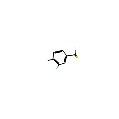 Cc1ccc(C(=S)Cl)cc1F